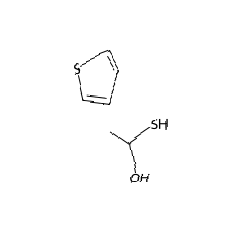 CC(O)S.c1ccsc1